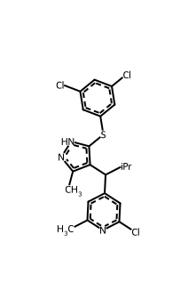 Cc1cc(C(c2c(C)n[nH]c2Sc2cc(Cl)cc(Cl)c2)C(C)C)cc(Cl)n1